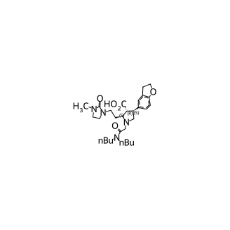 CCCCN(CCCC)C(=O)CN1C[C@H](c2ccc3c(c2)CCO3)[C@@H](C(=O)O)[C@@H]1CCN1CCN(C)C1=O